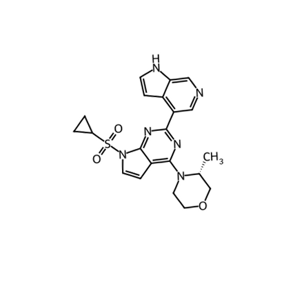 C[C@@H]1COCCN1c1nc(-c2cncc3[nH]ccc23)nc2c1ccn2S(=O)(=O)C1CC1